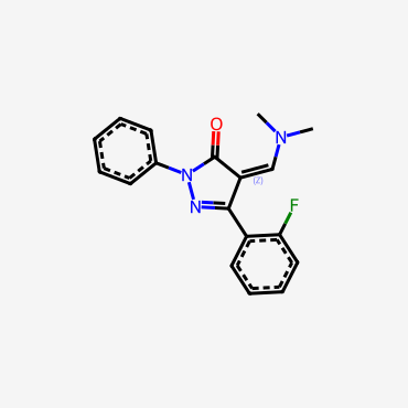 CN(C)/C=C1\C(=O)N(c2ccccc2)N=C1c1ccccc1F